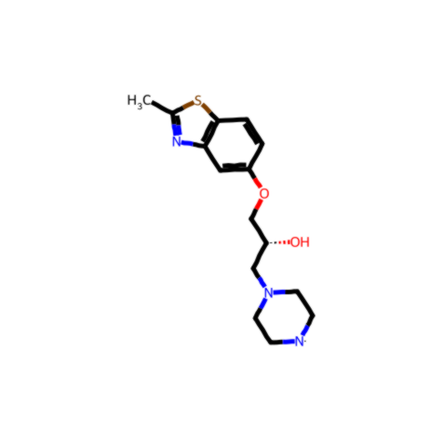 Cc1nc2cc(OC[C@H](O)CN3CC[N]CC3)ccc2s1